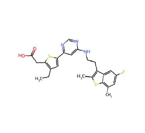 CCc1cc(-c2cc(NCCc3c(C)sc4c(C)cc(F)cc34)ncn2)sc1CC(=O)O